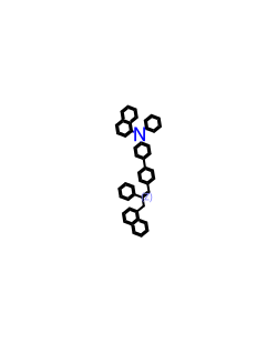 C(=C(\Cc1cccc2ccccc12)c1ccccc1)/c1ccc(-c2ccc(N(c3ccccc3)c3cccc4ccccc34)cc2)cc1